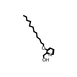 CCCCCCCCCCCCOc1cccnc1CO